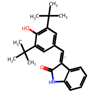 CC(C)(C)c1cc(/C=C2\C(=O)Nc3ccccc32)cc(C(C)(C)C)c1O